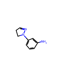 Nc1cccc(N2CCC=N2)c1